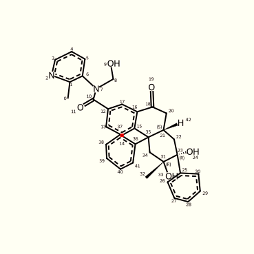 Cc1ncccc1N(CO)C(=O)c1ccc2c(c1)C(=O)C[C@@H]1C[C@@](O)(c3ccccc3)[C@](C)(O)CC21c1ccccc1